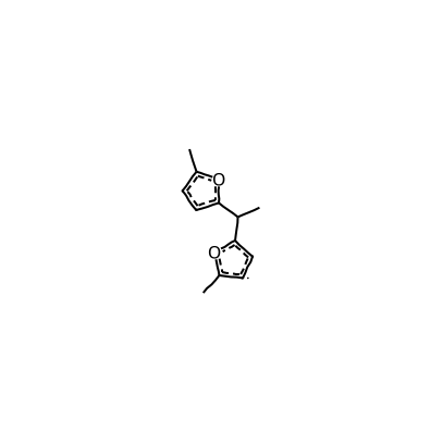 Cc1[c]cc(C(C)c2ccc(C)o2)o1